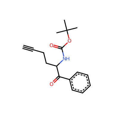 C#CCCC(NC(=O)OC(C)(C)C)C(=O)c1ccccc1